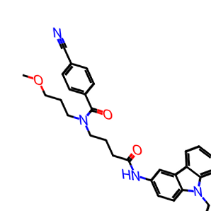 CCn1c2ccccc2c2cc(NC(=O)CCCN(CCCOC)C(=O)c3ccc(C#N)cc3)ccc21